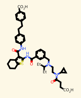 CCC(CC)N(CCN(C(=O)CCC(=O)O)C1CC1)Cc1cccc(C(=O)Nc2sc3c(c2C(=O)Nc2ccc(CCc4ccc(C(=O)O)cc4)cc2)CCCC3)c1